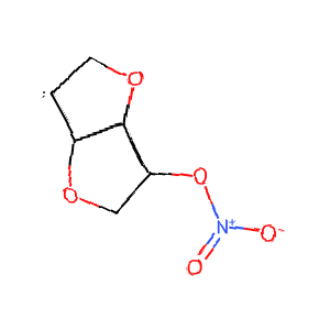 O=[N+]([O-])OC1COC2[C]COC21